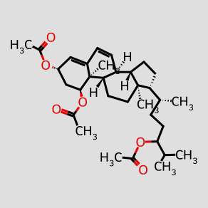 CC(=O)OC(CC[C@@H](C)[C@H]1CC[C@H]2[C@@H]3C=CC4=C[C@@H](OC(C)=O)C[C@H](OC(C)=O)[C@]4(C)[C@H]3CC[C@]12C)C(C)C